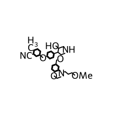 COCCCN1CCOc2ccc(COC3CNCC(O)C3c3ccc(Oc4ccc(C)c(C#N)c4)cc3)cc21